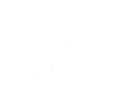 [NH]c1cccc2c1NC(=O)C(N1CCC(=O)CC1)C2